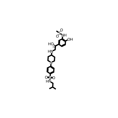 CC(C)CNS(=O)(=O)c1ccc(N2CCC(NC[C@@H](O)c3ccc(O)c(NS(C)(=O)=O)c3)CC2)cc1